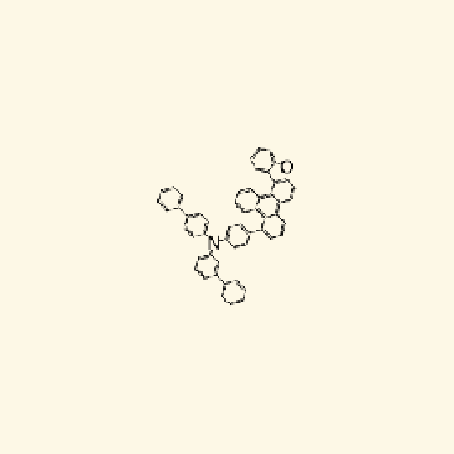 c1ccc(-c2ccc(N(c3ccc(-c4cccc5c6ccc7oc8ccccc8c7c6c6ccccc6c45)cc3)c3cccc(-c4ccccc4)c3)cc2)cc1